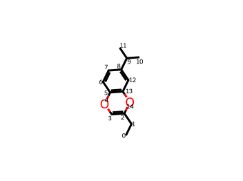 CCC1=COc2ccc(C(C)C)cc2O1